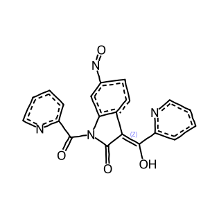 O=Nc1ccc2c(c1)N(C(=O)c1ccccn1)C(=O)/C2=C(\O)c1ccccn1